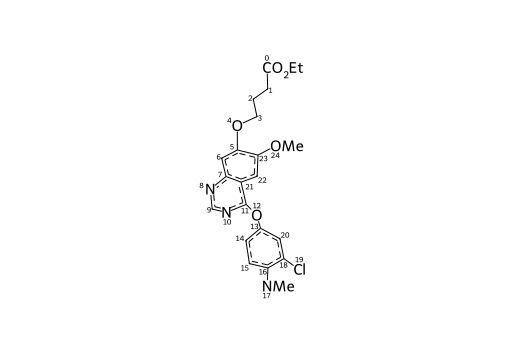 CCOC(=O)CCCOc1cc2ncnc(Oc3ccc(NC)c(Cl)c3)c2cc1OC